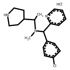 CC(C1CCNCC1)N(C)C(c1ccc(Cl)cc1)c1ccccn1.Cl